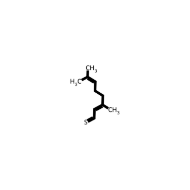 CC(C)=CCCC(C)=CC=S